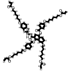 C=CC(=O)OCCCCCCOc1ccc(C(=O)Oc2cc(/C=N/Nc3nc4ccc(OCCCCCCOC(=O)C=C)cc4s3)c(OC(=O)c3ccc(OCCCCCCOC(=O)C=C)cc3)c3cc(OCCCCCCOC(=O)C=C)ccc23)cc1